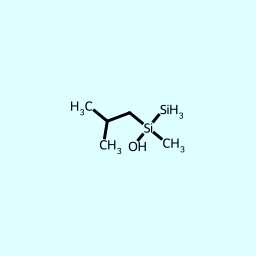 CC(C)C[Si](C)(O)[SiH3]